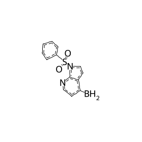 Bc1ccnc2c1ccn2S(=O)(=O)c1ccccc1